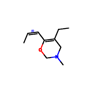 C/C=C\C1=C(CC)CN(C)CO1